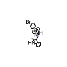 Cc1[nH]c2ccccc2c1/C=N/NS(=O)(=O)c1ccc(Br)cc1